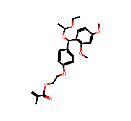 C=C(C)C(=O)OCCOc1ccc(C(OC(C)OCC)c2ccc(OC)cc2OC)cc1